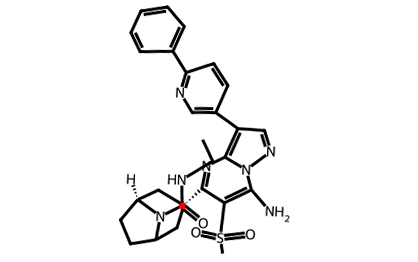 CCNC(=O)N1C2CC[C@H]1C[C@H](c1nc3c(-c4ccc(-c5ccccc5)nc4)cnn3c(N)c1S(C)(=O)=O)C2